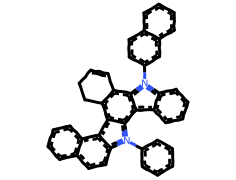 C1=Cc2c(c3c4c5ccccc5ccc4n(-c4ccccc4)c3c3c4ccccc4n(-c4ccc5ccccc5c4)c23)CC1